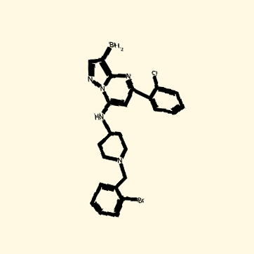 Bc1cnn2c(NC3CCN(Cc4ccccc4Br)CC3)cc(-c3ccccc3Cl)nc12